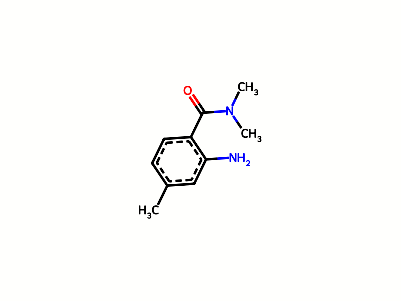 Cc1ccc(C(=O)N(C)C)c(N)c1